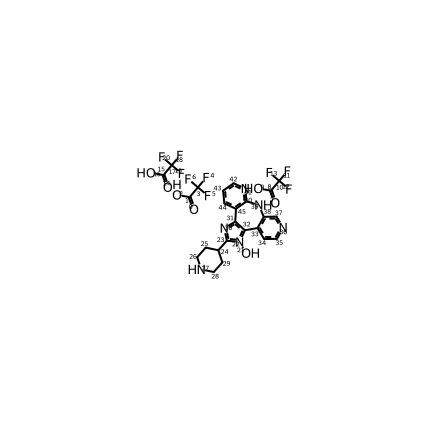 O=C(O)C(F)(F)F.O=C(O)C(F)(F)F.O=C(O)C(F)(F)F.On1c(C2CCNCC2)nc2c1-c1ccncc1Nc1ncccc1-2